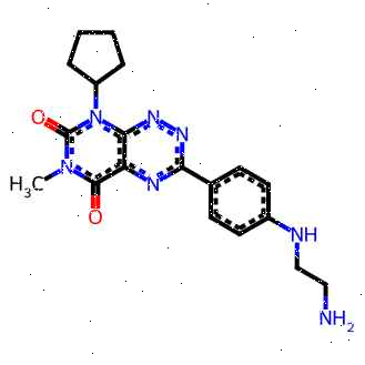 Cn1c(=O)c2nc(-c3ccc(NCCN)cc3)nnc2n(C2CCCC2)c1=O